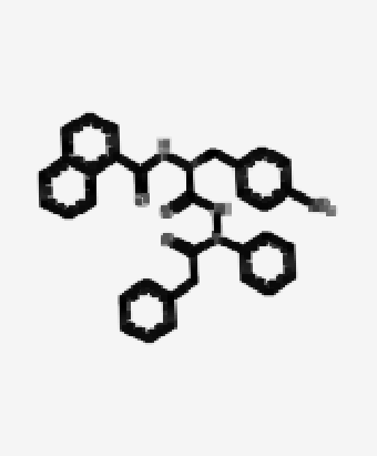 O=C(N[C@@H](Cc1ccc([N+](=O)[O-])cc1)C(=O)NN(C(=O)Cc1ccccc1)c1ccccc1)c1cccc2ccccc12